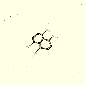 Cc1ccc(C)c2c(S(=O)(=O)O)ccc(C)c12